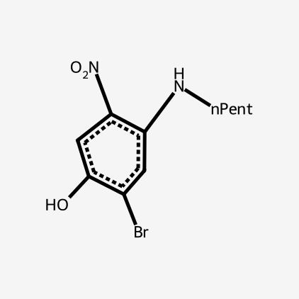 CCCCCNc1cc(Br)c(O)cc1[N+](=O)[O-]